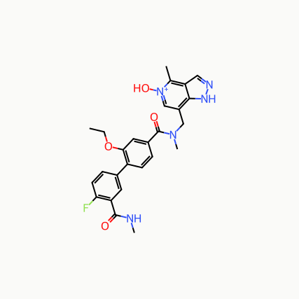 CCOc1cc(C(=O)N(C)Cc2c[n+](O)c(C)c3cn[nH]c23)ccc1-c1ccc(F)c(C(=O)NC)c1